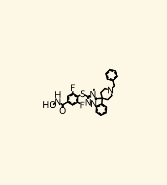 Cn1c(Sc2c(F)cc(C(=O)NO)cc2F)nnc1C1(c2ccccc2)CCN(Cc2ccccc2)CC1